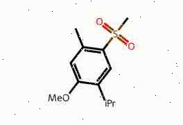 COc1cc(C)c(S(C)(=O)=O)cc1C(C)C